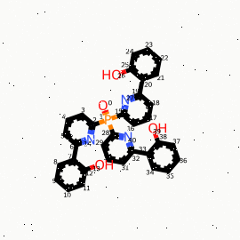 O=P(c1cccc(-c2ccccc2O)n1)(c1cccc(-c2ccccc2O)n1)c1cccc(-c2ccccc2O)n1